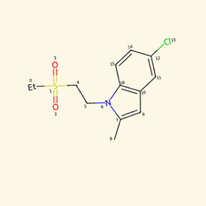 CCS(=O)(=O)CCn1c(C)cc2cc(Cl)ccc21